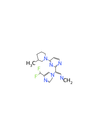 C=N/C=C(/c1nccc(N2CCCC(C)C2)n1)N1C=C(C(F)F)N=CC1